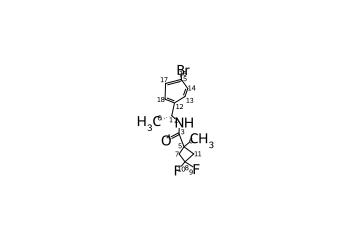 C[C@@H](NC(=O)C1(C)CC(F)(F)C1)c1ccc(Br)cc1